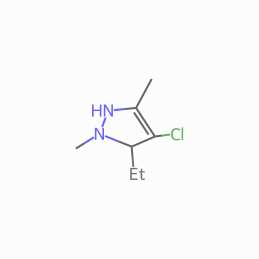 CCC1C(Cl)=C(C)NN1C